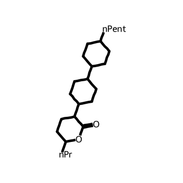 CCCCCC1CCC(C2CCC(C3CCC(CCC)OC3=O)CC2)CC1